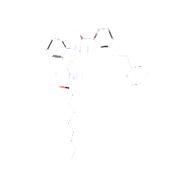 CCCCCCCCCC(=O)NS(=O)(=O)c1ccccc1NC(=O)c1cccc(OCC2CCCCC2)c1